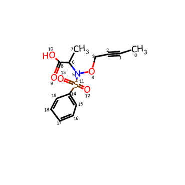 CC#CCON(C(C)C(=O)O)S(=O)(=O)c1ccccc1